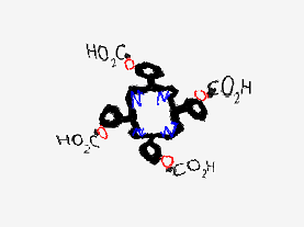 O=C(O)COc1cccc(C2=C3C=CC(=N3)C(c3cccc(OCC(=O)O)c3)=C3C=CC(=N3)C(c3cccc(OCC(=O)O)c3)=C3C=CC(=N3)C(c3cccc(OCC(=O)O)c3)=C3C=CC2=N3)c1